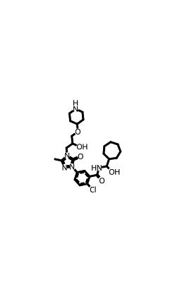 Cc1nn(-c2ccc(Cl)c(C(=O)NC(O)C3CCCCCC3)c2)c(=O)n1CC(O)COC1CCNCC1